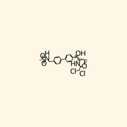 CS(=O)(=O)NCc1ccc(-c2ccc([C@@H](O)[C@@H](CF)NC(=O)C(Cl)Cl)cc2)cc1